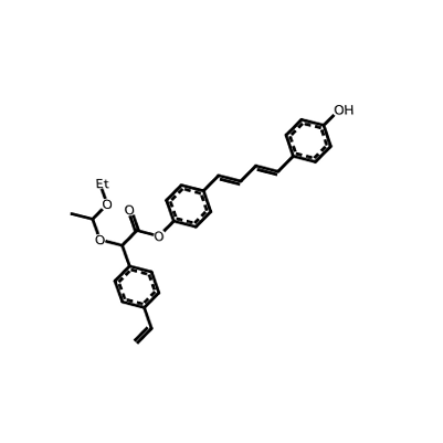 C=Cc1ccc(C(OC(C)OCC)C(=O)Oc2ccc(C=CC=Cc3ccc(O)cc3)cc2)cc1